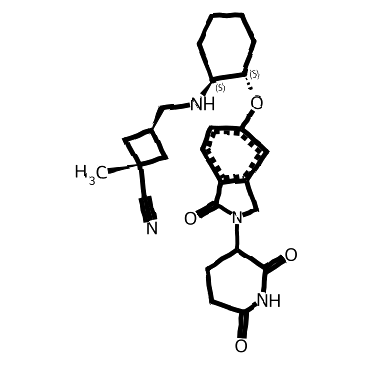 C[C@]1(C#N)C[C@H](CN[C@H]2CCCC[C@@H]2Oc2ccc3c(c2)CN(C2CCC(=O)NC2=O)C3=O)C1